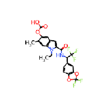 CCn1c(C(=O)NC(c2ccc3c(c2)OC(F)(F)O3)C(F)(F)F)cc2cc(OC(=O)O)c(C)cc21